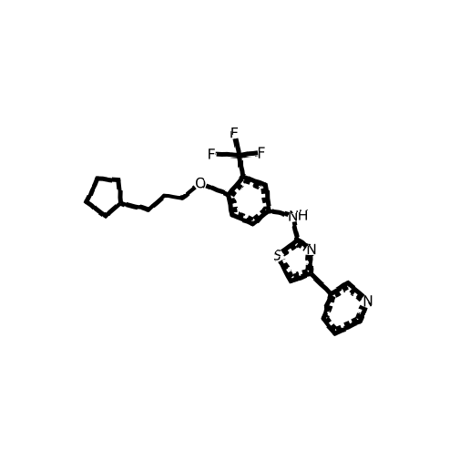 FC(F)(F)c1cc(Nc2nc(-c3cccnc3)cs2)ccc1OCCCC1CCCC1